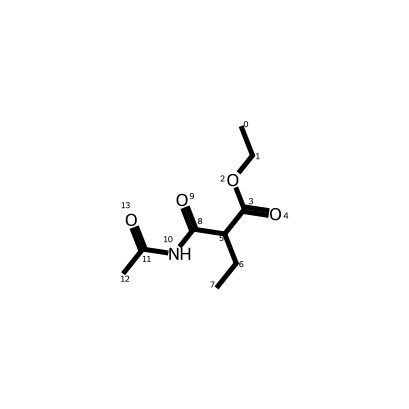 CCOC(=O)C(CC)C(=O)NC(C)=O